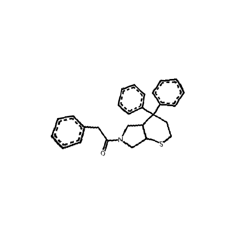 O=C(Cc1ccccc1)N1CC2SCCC(c3ccccc3)(c3ccccc3)C2C1